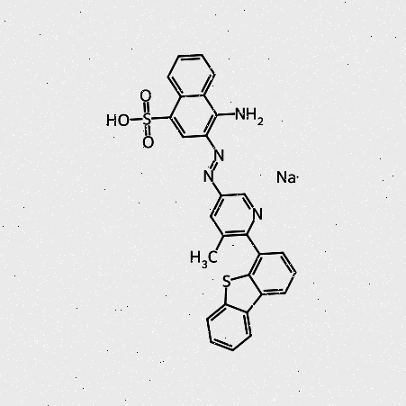 Cc1cc(N=Nc2cc(S(=O)(=O)O)c3ccccc3c2N)cnc1-c1cccc2c1sc1ccccc12.[Na]